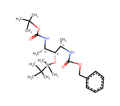 C[C@H](NC(=O)OCc1ccccc1)[C@H](O[Si](C)(C)C(C)(C)C)[C@H](C)NC(=O)OC(C)(C)C